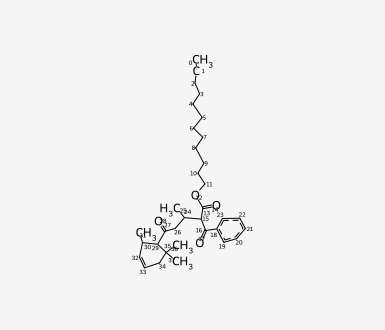 CCCCCCCCCCCCOC(=O)C(C(=O)c1ccccc1)C(C)CC(=O)C1C(C)C=CCC1(C)C